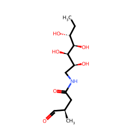 CC[C@@H](O)[C@@H](O)[C@H](O)[C@@H](O)CNC(=O)C[C@@H](C)C=O